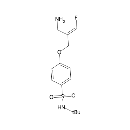 CC(C)(C)NS(=O)(=O)c1ccc(OCC(=CF)CN)cc1